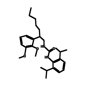 CCCCCC(CNC(=O)Nc1c(C(C)C)cccc1C(C)C)c1cccc(OC)c1OC